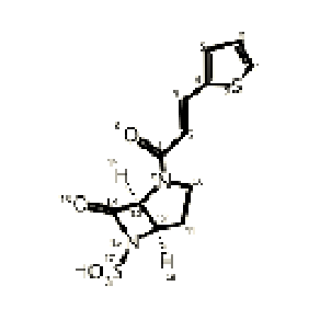 O=C(C=Cc1cccs1)N1CC[C@@H]2[C@H]1C(=O)N2S(=O)(=O)O